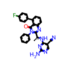 C[C@H](Nc1nc(N)ncc1C#N)c1nc2cccc(-c3ccc(F)cc3)c2c(=O)n1-c1ccccc1